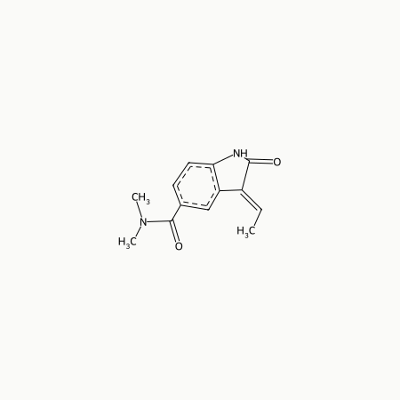 C/C=C1/C(=O)Nc2ccc(C(=O)N(C)C)cc21